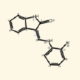 O=C1Nc2ccccc2/C1=C/Nc1ccccc1Br